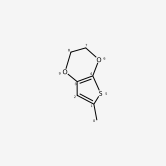 Cc1cc2c(s1)OCCO2